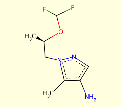 Cc1c(N)cnn1C[C@@H](C)OC(F)F